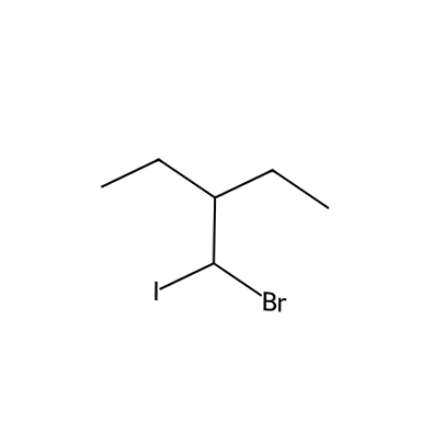 CCC(CC)C(Br)I